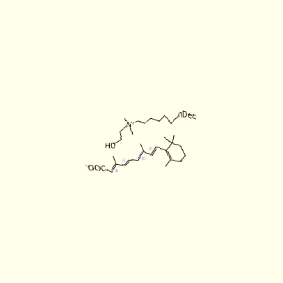 CC1=C(/C=C/C(C)=C/C=C/C(C)=C/C(=O)[O-])C(C)(C)CCC1.CCCCCCCCCCCCCCCC[N+](C)(C)CCO